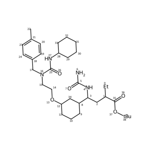 CCC(CC(NC(N)=O)C1CCCC(OCCN(Cc2ccc(C)cc2)C(=O)NC2CCCCC2)C1)C(=O)OC(C)(C)C